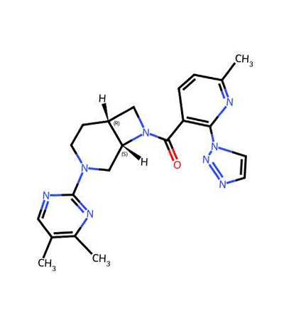 Cc1ccc(C(=O)N2C[C@H]3CCN(c4ncc(C)c(C)n4)C[C@H]32)c(-n2ccnn2)n1